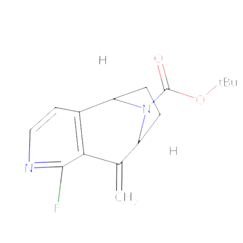 C=C1c2c(ccnc2F)[C@H]2CC[C@@H]1N2C(=O)OC(C)(C)C